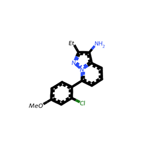 CCc1nn2c(-c3ccc(OC)cc3Cl)cccc2c1N